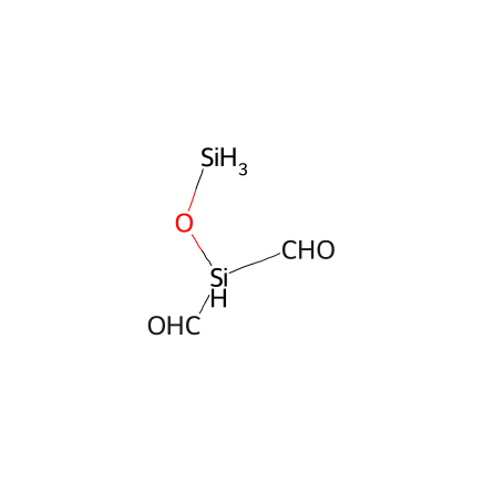 O=C[SiH](C=O)O[SiH3]